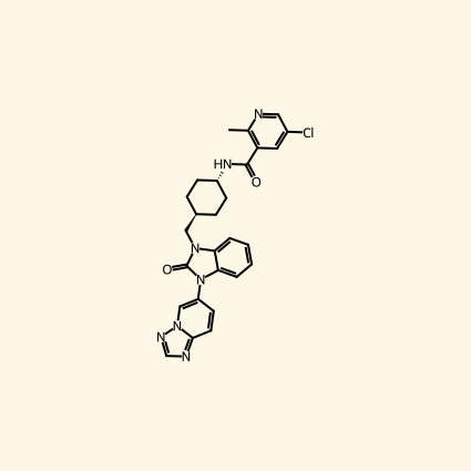 Cc1ncc(Cl)cc1C(=O)N[C@H]1CC[C@H](Cn2c(=O)n(-c3ccc4ncnn4c3)c3ccccc32)CC1